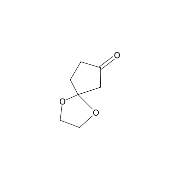 O=C1CCC2(C1)OCCO2